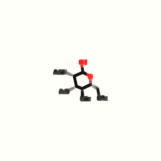 CC(=O)N[C@@H]1C(O)O[C@H](COC(C)=O)[C@@H](OC(C)=O)[C@@H]1OC(C)=O